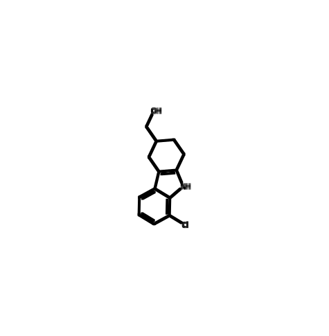 OCC1CCc2[nH]c3c(Cl)cccc3c2C1